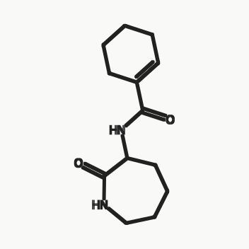 O=C(NC1CCCCNC1=O)C1=CCCCC1